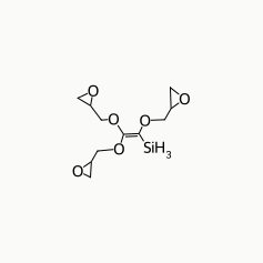 [SiH3]C(OCC1CO1)=C(OCC1CO1)OCC1CO1